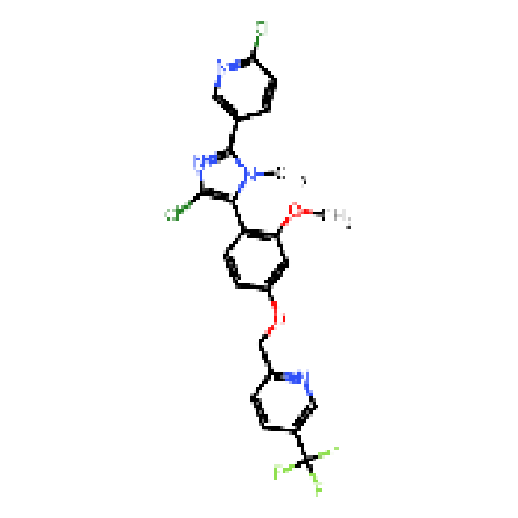 COc1cc(OCc2ccc(C(F)(F)F)cn2)ccc1-c1c(Cl)nc(-c2ccc(Cl)nc2)n1C